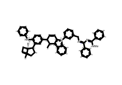 CN/C(=N\C(=N/Cc1cccc(-n2c3c(c4ccccc42)C(C)C(c2ccc(Nc4ccccc4)c(C4CC5C6C[C@@H]4C56C)c2)C=C3)c1)c1ccccc1)c1ccccc1